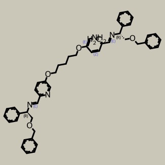 C=C(/C=C\C(=C/N)OCCCCCOc1ccc(/C=N/[C@@H](COCc2ccccc2)c2ccccc2)nc1)/C=N/[C@@H](COCc1ccccc1)c1ccccc1